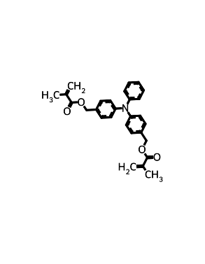 C=C(C)C(=O)OCc1ccc(N(c2ccccc2)c2ccc(COC(=O)C(=C)C)cc2)cc1